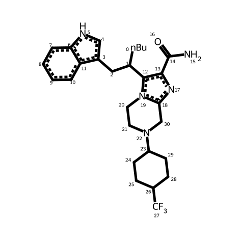 CCCCC(Cc1c[nH]c2ccccc12)c1c(C(N)=O)nc2n1CCN(C1CCC(C(F)(F)F)CC1)C2